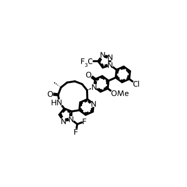 COc1cn([C@H]2CCC[C@@H](C)C(=O)Nc3cnn(C(F)F)c3-c3ccnc2c3)c(=O)cc1-c1cc(Cl)ccc1-n1cc(C(F)(F)F)nn1